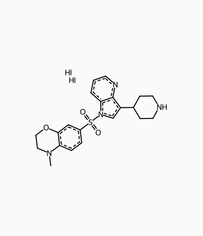 CN1CCOc2cc(S(=O)(=O)n3cc(C4CCNCC4)c4ncccc43)ccc21.I.I